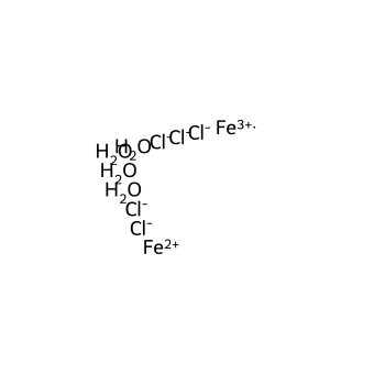 O.O.O.O.[Cl-].[Cl-].[Cl-].[Cl-].[Cl-].[Fe+2].[Fe+3]